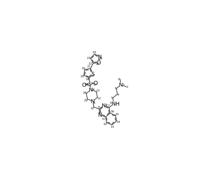 CN(C)CCCNc1nc(CN2CCN(S(=O)(=O)c3ccc(-c4ccno4)s3)CC2)nc2ccccc12